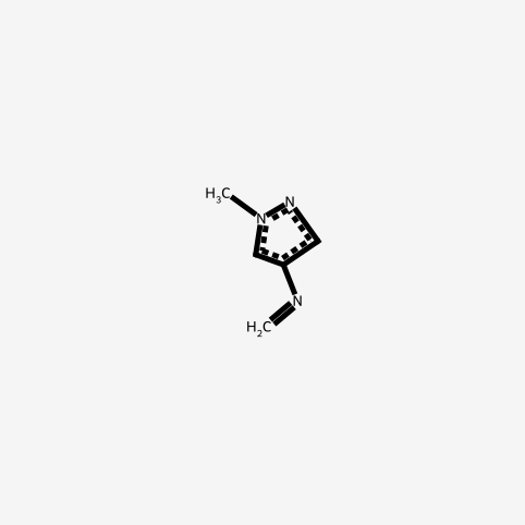 C=Nc1cnn(C)c1